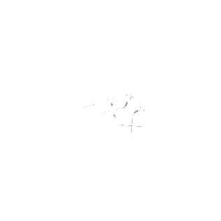 CCCCS(=O)(=O)c1c(C(C)(C)C)no[n+]1[O-]